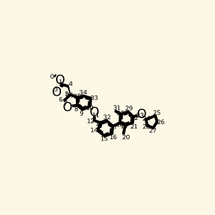 COC(=O)C[C@@H]1COc2cc(OCc3cccc(-c4c(C)cc(OC5CCCC5)cc4C)c3)ccc21